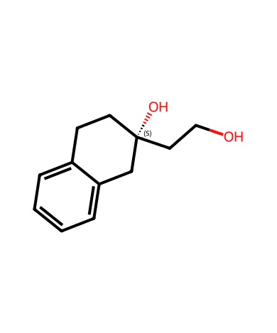 OCC[C@]1(O)CCc2ccccc2C1